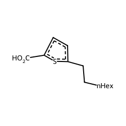 CCCCCCCCc1ccc(C(=O)O)s1